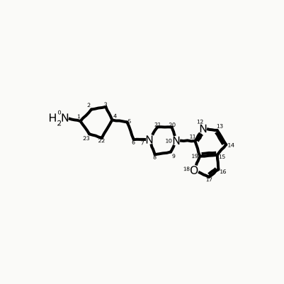 NC1CCC(CCN2CCN(c3nccc4ccoc34)CC2)CC1